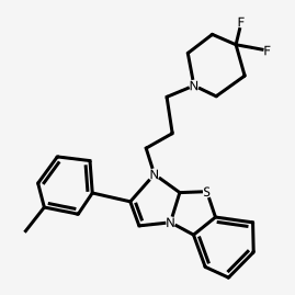 Cc1cccc(C2=CN3c4ccccc4SC3N2CCCN2CCC(F)(F)CC2)c1